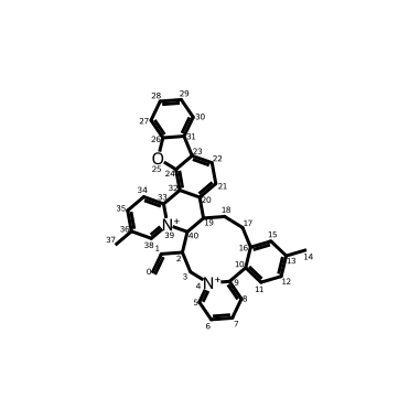 C=CC1C[n+]2ccccc2-c2ccc(C)cc2CCC2c3ccc4c(oc5ccccc54)c3-c3ccc(C)c[n+]3C12